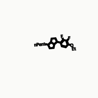 CCCCCC1CCC2C(c3ccc(OCC)c(F)c3F)CCC12